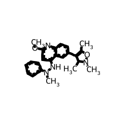 COc1cc(NN(C)c2ccccc2)c2cc(C3=C(C)ON(C)C3C)ccc2n1